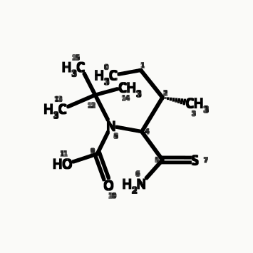 CC[C@H](C)C(C(N)=S)N(C(=O)O)C(C)(C)C